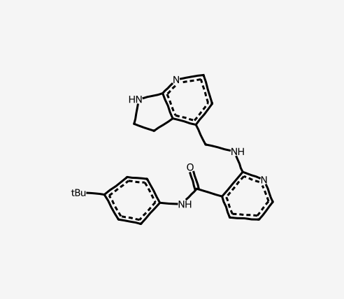 CC(C)(C)c1ccc(NC(=O)c2cccnc2NCc2ccnc3c2CCN3)cc1